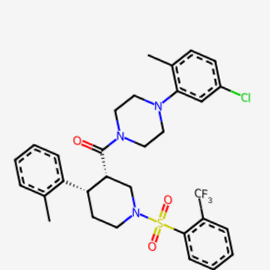 Cc1ccccc1[C@H]1CCN(S(=O)(=O)c2ccccc2C(F)(F)F)C[C@H]1C(=O)N1CCN(c2cc(Cl)ccc2C)CC1